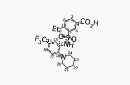 CCc1ccc(C(=O)O)cc1S(=O)(=O)Nc1cc(C(F)(F)F)ccc1N1CCCCC1